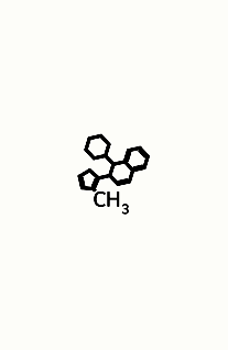 CC1=C(C2C=Cc3ccccc3C2C2CCCCC2)CC=C1